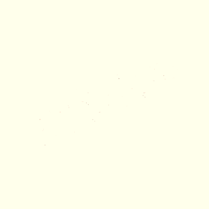 Cc1cc(C(O)C(O)C(=O)NC2CCOC(C)(C)C2)cc2nc(C(F)(F)F)c(CC3CCC(F)(F)CC3)n12